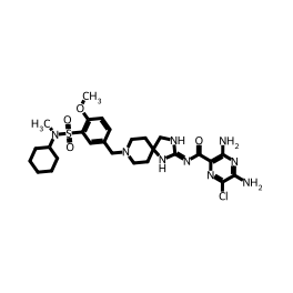 COc1ccc(CN2CCC3(CC2)CN/C(=N\C(=O)c2nc(Cl)c(N)nc2N)N3)cc1S(=O)(=O)N(C)C1CCCCC1